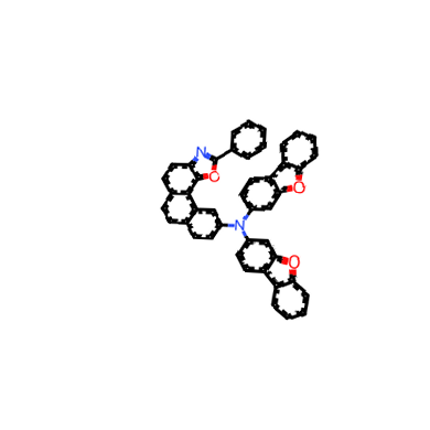 c1ccc(-c2nc3ccc4ccc5ccc(N(c6ccc7c(c6)oc6ccccc67)c6ccc7c(c6)oc6ccccc67)cc5c4c3o2)cc1